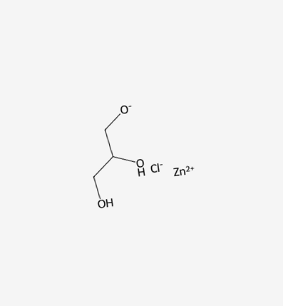 [Cl-].[O-]CC(O)CO.[Zn+2]